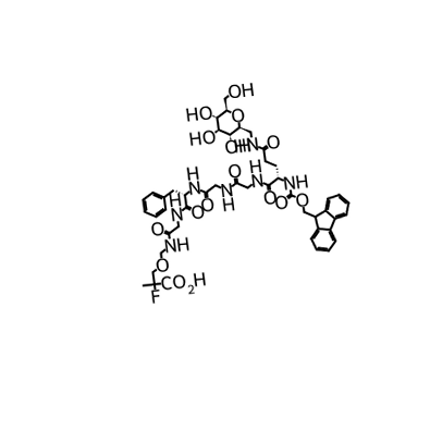 CC(F)(COCNC(=O)CNC(=O)[C@H](Cc1ccccc1)NC(=O)CNC(=O)CNC(=O)[C@H](CCC(=O)NC[C@@H]1O[C@H](CO)[C@@H](O)[C@H](O)[C@H]1O)NC(=O)OCC1c2ccccc2-c2ccccc21)C(=O)O